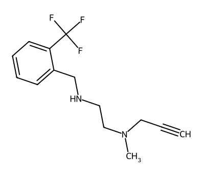 C#CCN(C)CCNCc1ccccc1C(F)(F)F